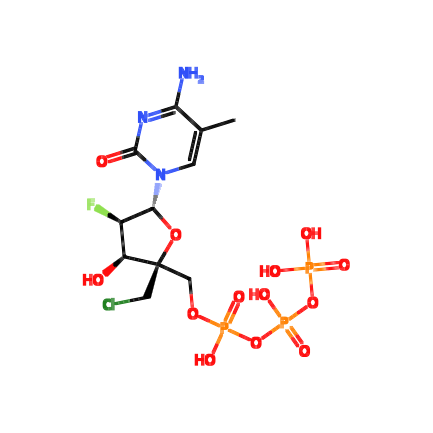 Cc1cn([C@@H]2O[C@](CCl)(COP(=O)(O)OP(=O)(O)OP(=O)(O)O)[C@@H](O)[C@H]2F)c(=O)nc1N